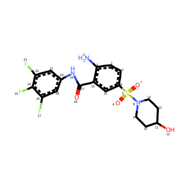 Nc1ccc(S(=O)(=O)N2CCC(O)CC2)cc1C(=O)Nc1cc(F)c(F)c(F)c1